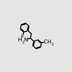 Cc1cccc(C(N)Cc2ccccc2F)c1